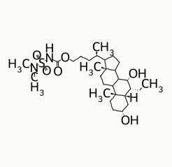 CC[C@H]1[C@@H](O)C2C3CCC([C@H](C)CCCOC(=O)NS(=O)(=O)N(C)C)[C@@]3(C)CCC2[C@@]2(C)CC[C@@H](O)C[C@@H]12